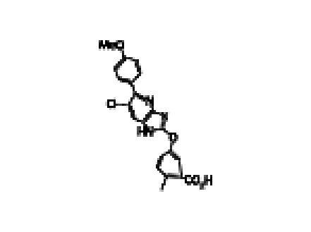 COc1ccc(-c2nc3nc(Oc4ccc(C)c(C(=O)O)c4)[nH]c3cc2Cl)cc1